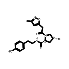 Cc1cc(CC(=O)N2C[C@H](O)C[C@H]2C(=O)NCCc2ccc(O)cc2)on1